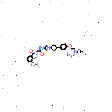 Cc1cccc(C(=O)NCC(=O)NC2CN(C3CCC(c4ccc(OCCN(C)C)cc4)CC3)C2)c1